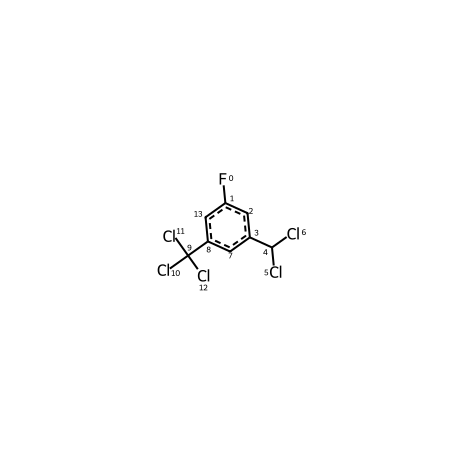 Fc1cc(C(Cl)Cl)cc(C(Cl)(Cl)Cl)c1